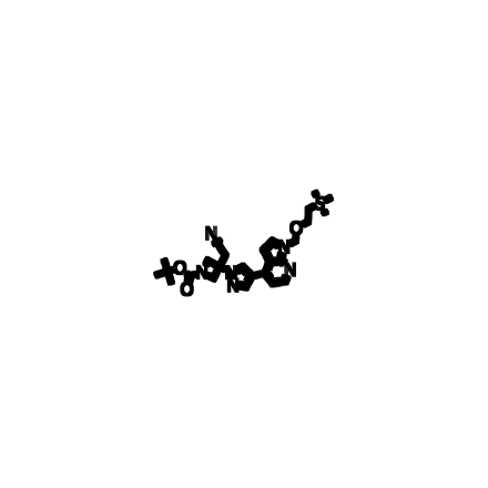 CC(C)(C)OC(=O)N1CC(CC#N)(n2cc(-c3ccnc4c3ccn4COCCS(C)(C)C)cn2)C1